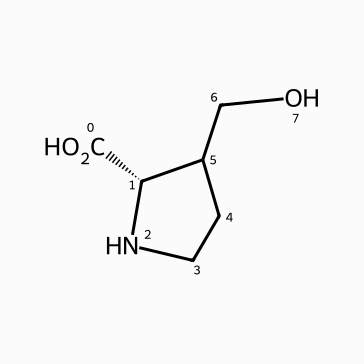 O=C(O)[C@H]1NCCC1CO